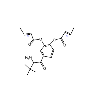 C/C=C/C(=O)Oc1ccc(C(=O)C(N)C(C)(C)C)cc1OC(=O)/C=C/C